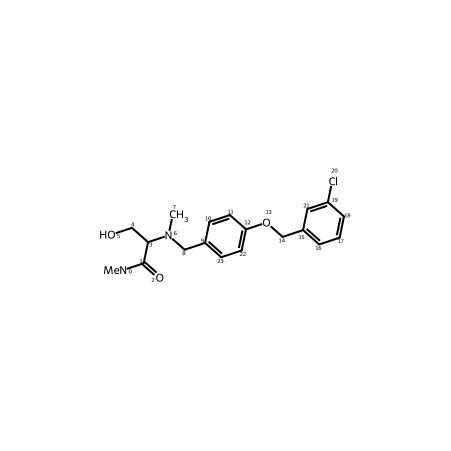 CNC(=O)C(CO)N(C)Cc1ccc(OCc2cccc(Cl)c2)cc1